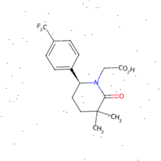 CC1(C)CC[C@@H](c2ccc(C(F)(F)F)cc2)N(CC(=O)O)C1=O